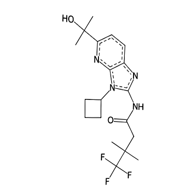 CC(C)(O)c1ccc2nc(NC(=O)CC(C)(C)C(F)(F)F)n(C3CCC3)c2n1